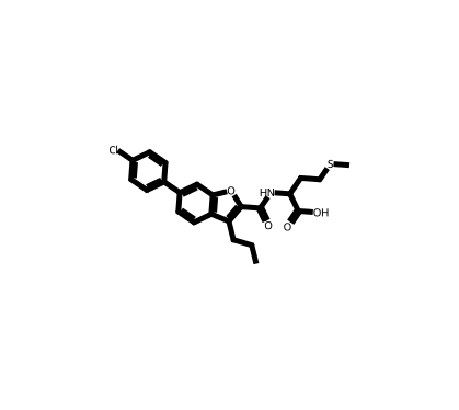 CCCc1c(C(=O)NC(CCSC)C(=O)O)oc2cc(-c3ccc(Cl)cc3)ccc12